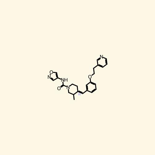 CC1CN(C(=O)Nc2cnoc2)CC/C1=C\c1cccc(OCCc2cccnc2)c1